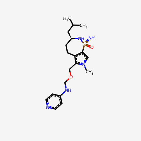 CC(C)C[C@@H]1CCc2c(cn(C)c2COCNc2ccncc2)S(=N)(=O)N1